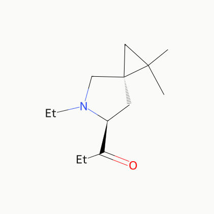 CCC(=O)[C@@H]1C[C@]2(CN1CC)CC2(C)C